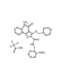 COc1ccccc1CNC(=O)c1sc2c(c1OCc1ccncc1)c(=O)n(C)c1ccccc21.O=C(O)C(F)(F)F